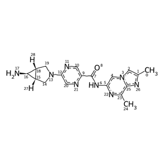 Cc1cn2cc(NC(=O)c3cnc(N4C[C@@H]5[C@@H](N)[C@@H]5C4)cn3)nc(C)c2n1